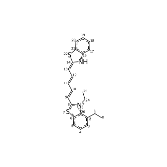 CCc1cccc2sc(C=CC=CC=C3Nc4ccccc4S3)[n+](CC)c12